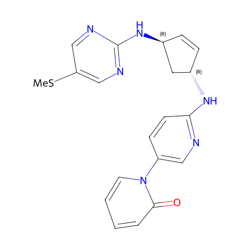 CSc1cnc(N[C@H]2C=C[C@H](Nc3ccc(-n4ccccc4=O)cn3)C2)nc1